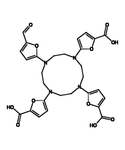 O=Cc1ccc(N2CCN(c3ccc(C(=O)O)o3)CCN(c3ccc(C(=O)O)o3)CCN(c3ccc(C(=O)O)o3)CC2)o1